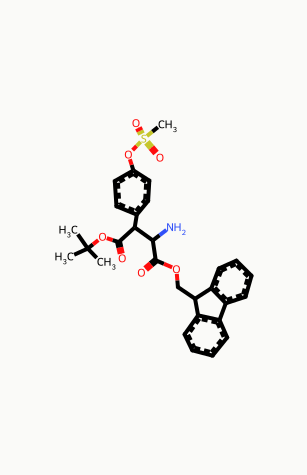 CC(C)(C)OC(=O)C(c1ccc(OS(C)(=O)=O)cc1)C(N)C(=O)OCC1c2ccccc2-c2ccccc21